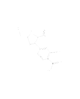 NC[C@H]1CN(c2ccc(C(=O)O)c(F)c2)C(C=O)O1